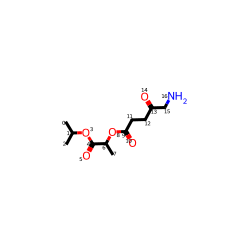 CC(C)OC(=O)C(C)OC(=O)CCC(=O)CN